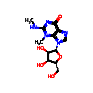 CNc1nc(=O)c2ncn([C@@H]3O[C@H](CO)[C@@H](O)[C@H]3O)c2n1C